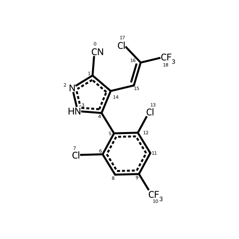 N#Cc1n[nH]c(-c2c(Cl)cc(C(F)(F)F)cc2Cl)c1/C=C(\Cl)C(F)(F)F